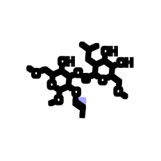 C/C=C/OC1C(OC)OC(COC)C(O)C1OOC1OC(COC)C(O)C(O)C1CC(C)C